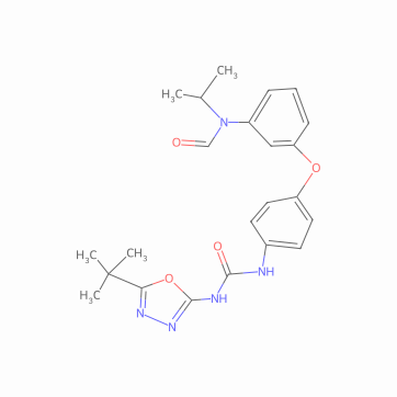 CC(C)N(C=O)c1cccc(Oc2ccc(NC(=O)Nc3nnc(C(C)(C)C)o3)cc2)c1